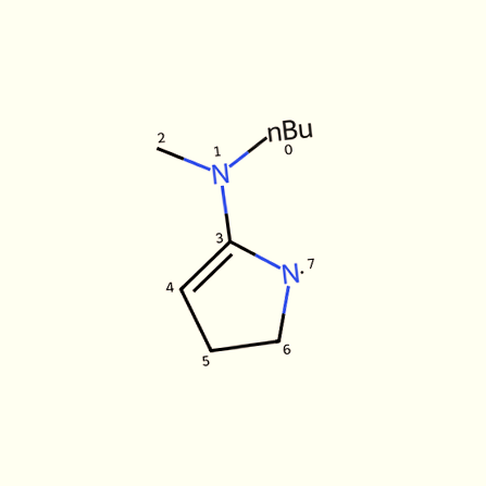 CCCCN(C)C1=CCC[N]1